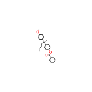 CCCCC(C)(c1ccc(OC)cc1)c1ccc(OC(=O)c2ccccc2)cc1